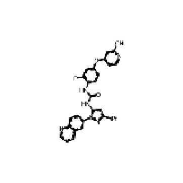 CC(C)c1cc(NC(=O)Nc2ccc(Oc3ccnc(C#N)c3)cc2F)n(-c2ccc3ncccc3c2)n1